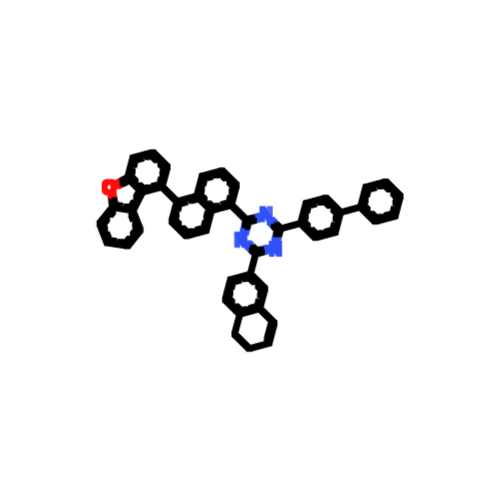 C1=Cc2cc(-c3nc(-c4ccc(-c5ccccc5)cc4)nc(-c4cccc5c(-c6cccc7oc8ccccc8c67)cccc45)n3)ccc2CC1